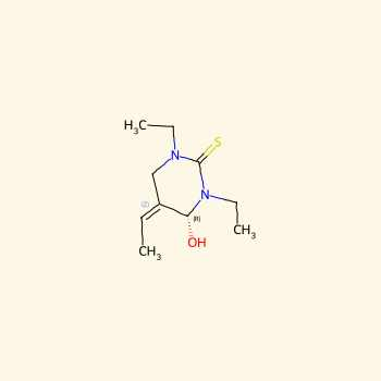 C/C=C1/CN(CC)C(=S)N(CC)[C@@H]1O